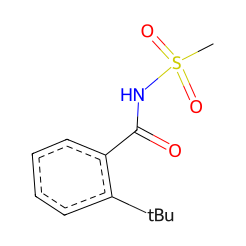 CC(C)(C)c1ccccc1C(=O)NS(C)(=O)=O